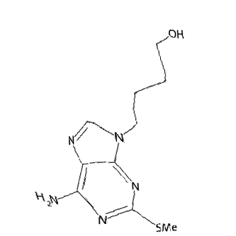 CSc1nc(N)c2ncn(CCCCO)c2n1